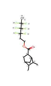 CC1C2CC(C(=O)OCCC(F)(F)C(F)(F)C(F)(F)C(F)(F)F)C(C2)C1C